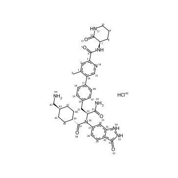 Cc1cc(C(=O)N[C@@H]2CCCNC2=O)ncc1-c1ccc(C[C@@H](C(N)=O)N(c2ccc3c(=O)[nH][nH]c3c2)C(=O)[C@H]2CC[C@H](CN)CC2)cc1.Cl